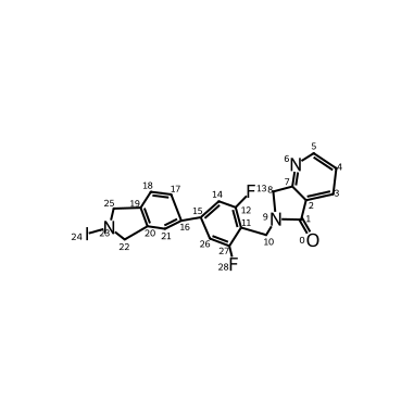 O=C1c2cccnc2CN1Cc1c(F)cc(-c2ccc3c(c2)CN(I)C3)cc1F